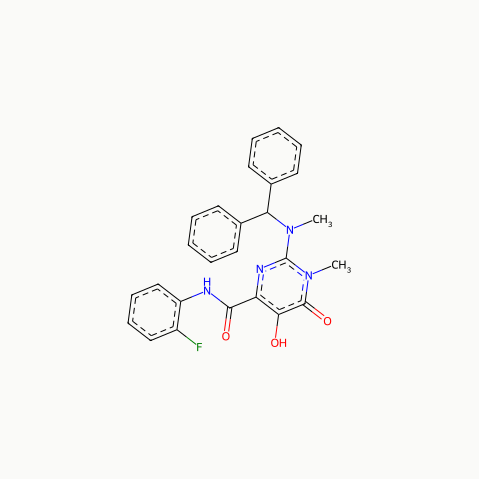 CN(c1nc(C(=O)Nc2ccccc2F)c(O)c(=O)n1C)C(c1ccccc1)c1ccccc1